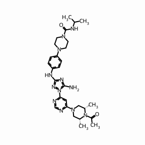 CC(=O)N1[C@H](C)CN(c2cc(-n3nc(Nc4ccc(N5CCN(C(=O)NC(C)C)CC5)cc4)nc3N)ncn2)C[C@@H]1C